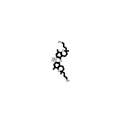 Cc1cc(O)c(Oc2c(O)cc(C)c3c2CCC(C)(CCCC(C)C)O3)c2c1OC(C)(CCCC(C)C)CC2